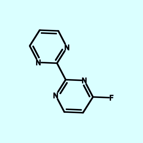 Fc1ccnc(-c2ncccn2)n1